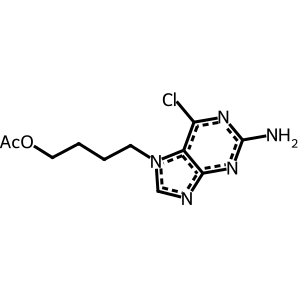 CC(=O)OCCCCn1cnc2nc(N)nc(Cl)c21